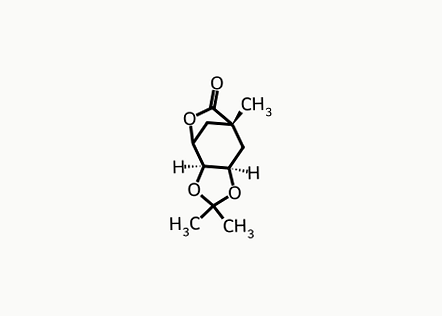 CC1(C)O[C@@H]2C[C@]3(C)CC(OC3=O)[C@@H]2O1